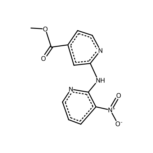 COC(=O)c1ccnc(Nc2ncccc2[N+](=O)[O-])c1